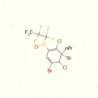 CCCC1(Br)[C](Cl)C(Br)=CC([S+]([O-])C(F)(F)C(F)(F)C(F)(F)F)=C1Cl